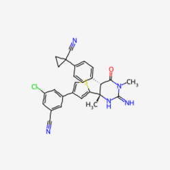 CN1C(=N)N[C@](C)(c2cc(-c3cc(Cl)cc(C#N)c3)cs2)[C@H](c2ccc(C3(C#N)CC3)cc2)C1=O